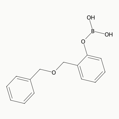 OB(O)Oc1ccccc1COCc1ccccc1